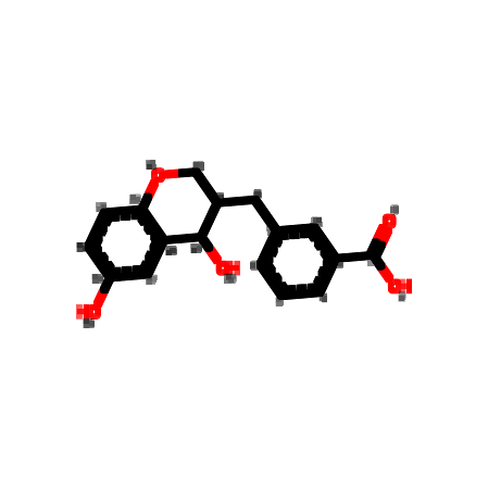 O=C(O)c1cccc(CC2COc3ccc(O)cc3C2O)c1